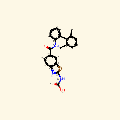 Cc1cccc(C)c1-c1ccccc1NC(=O)c1ccc2nc(NC(=O)O)sc2c1